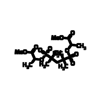 COC(=O)C(C)OS(=O)(=O)C(C)(C)CC(C)(C)S(=O)(=O)OC(C)C(=O)OC